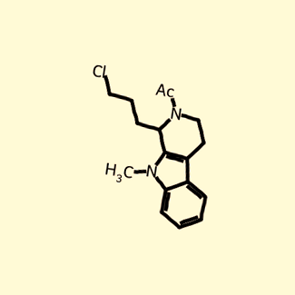 CC(=O)N1CCc2c(n(C)c3ccccc23)C1CCCCl